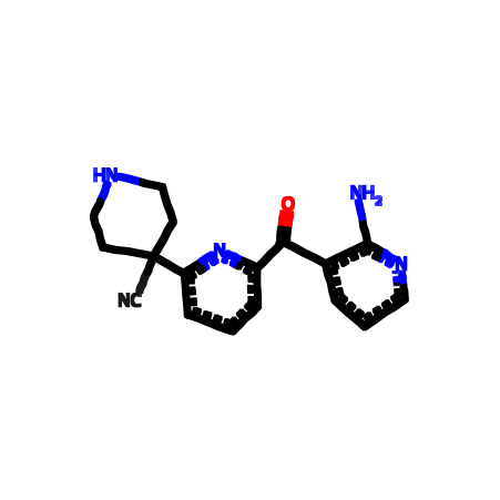 N#CC1(c2cccc(C(=O)c3cccnc3N)n2)CCNCC1